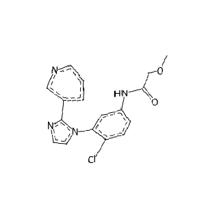 COCC(=O)Nc1ccc(Cl)c(-n2ccnc2-c2cccnc2)c1